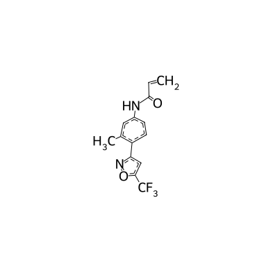 C=CC(=O)Nc1ccc(-c2cc(C(F)(F)F)on2)c(C)c1